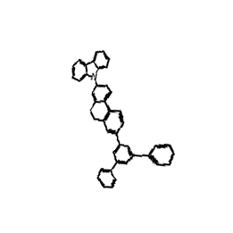 c1ccc(-c2cc(-c3ccccc3)cc(-c3ccc4c(c3)CCc3cc(-n5c6ccccc6c6ccccc65)ccc3-4)c2)cc1